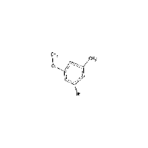 [CH2]c1cc(Br)cc(OC)c1